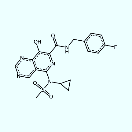 CS(=O)(=O)N(c1nc(C(=O)NCc2ccc(F)cc2)c(O)c2ncncc12)C1CC1